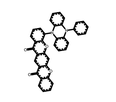 O=c1c2ccccc2oc2cc3oc4c(N5c6ccccc6N(c6ccccc6)c6ccccc65)cccc4c(=O)c3cc12